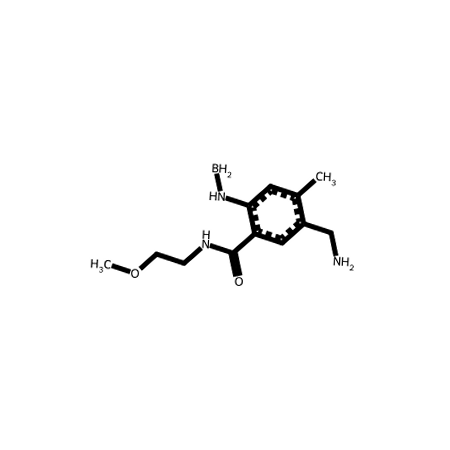 BNc1cc(C)c(CN)cc1C(=O)NCCOC